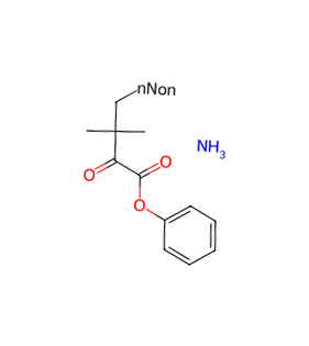 CCCCCCCCCCC(C)(C)C(=O)C(=O)Oc1ccccc1.N